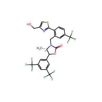 C[C@H]1C(c2cc(C(F)(F)F)cc(C(F)(F)F)c2)OC(=O)N1Cc1cc(C(F)(F)F)ccc1-c1nc(CO)cs1